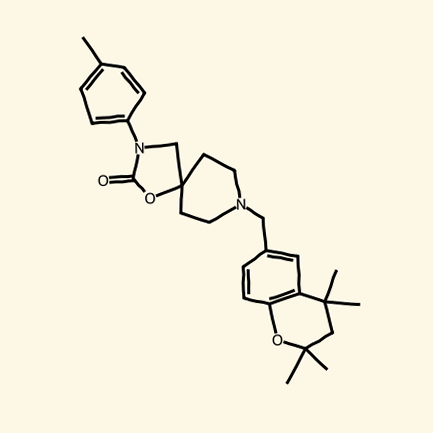 Cc1ccc(N2CC3(CCN(Cc4ccc5c(c4)C(C)(C)CC(C)(C)O5)CC3)OC2=O)cc1